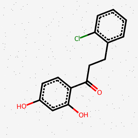 O=C(CCc1ccccc1Cl)c1ccc(O)cc1O